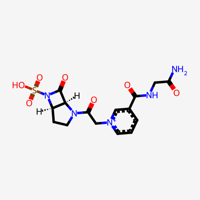 NC(=O)CNC(=O)c1ccc[n+](CC(=O)N2CC[C@@H]3[C@H]2C(=O)N3S(=O)(=O)O)c1